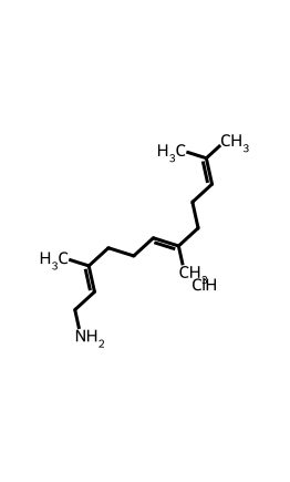 CC(C)=CCCC(C)=CCCC(C)=CCN.Cl